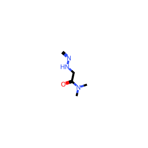 C=NNCC(=O)N(C)C